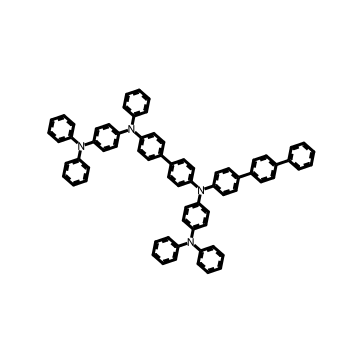 c1ccc(-c2ccc(-c3ccc(N(c4ccc(-c5ccc(N(c6ccccc6)c6ccc(N(c7ccccc7)c7ccccc7)cc6)cc5)cc4)c4ccc(N(c5ccccc5)c5ccccc5)cc4)cc3)cc2)cc1